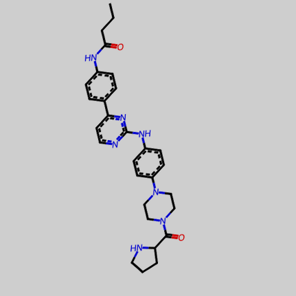 CCCC(=O)Nc1ccc(-c2ccnc(Nc3ccc(N4CCN(C(=O)C5CCCN5)CC4)cc3)n2)cc1